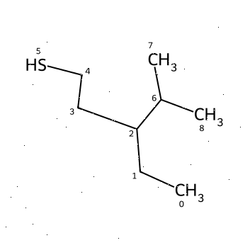 CCC(CCS)C(C)C